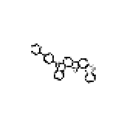 c1ccc(-c2ccc(-n3c4ccccc4c4c5oc6c(ccc7sc8ccccc8c76)c5ccc43)cc2)cc1